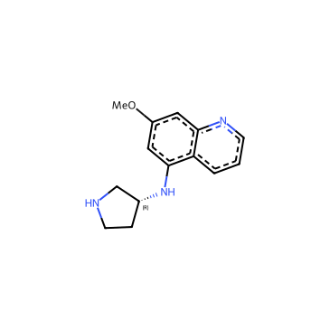 COc1cc(N[C@@H]2CCNC2)c2cccnc2c1